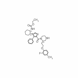 CCOC(=O)N[C@H]1CCCC[C@@H]1n1cnc(C(=O)N2CCNC[C@H]2CCOc2ccc(C)cc2F)c1-c1ccccc1